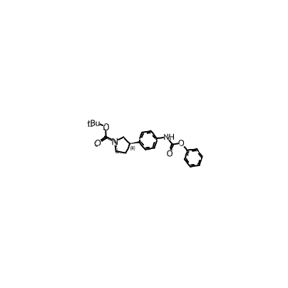 CC(C)(C)OC(=O)N1CC[C@H](c2ccc(NC(=O)Oc3ccccc3)cc2)C1